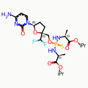 CC(C)OC(=O)[C@H](C)NP(=S)(N[C@@H](C)C(=O)OC(C)C)OC[C@]1(C(F)F)CC[C@H](n2ccc(N)nc2=O)O1